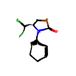 O=C1SC[C@@H](C(F)F)N1C1=CCCC=C1